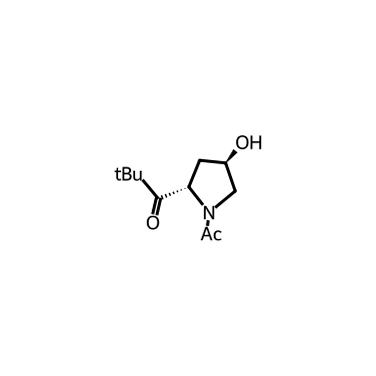 CC(=O)N1C[C@H](O)C[C@H]1C(=O)C(C)(C)C